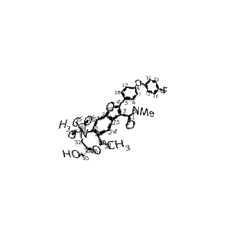 CNC(=O)c1c(-c2ccc(Oc3ccc(F)cc3)cc2)oc2cc3c(cc12)[C@H](C)O[C@H](CO)CN3S(C)(=O)=O